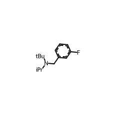 CC(C)N(Cc1cccc(F)c1)C(C)(C)C